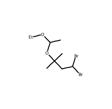 CCOC(C)OC(C)(C)CC(Br)Br